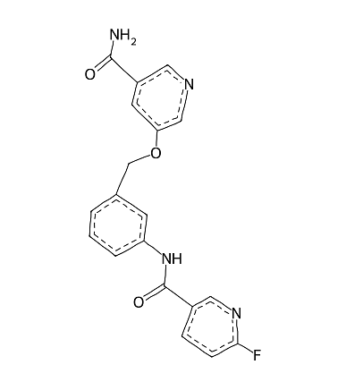 NC(=O)c1cncc(OCc2cccc(NC(=O)c3ccc(F)nc3)c2)c1